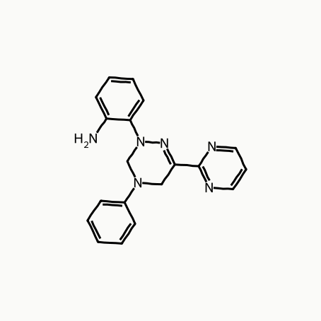 Nc1ccccc1N1CN(c2ccccc2)CC(c2ncccn2)=N1